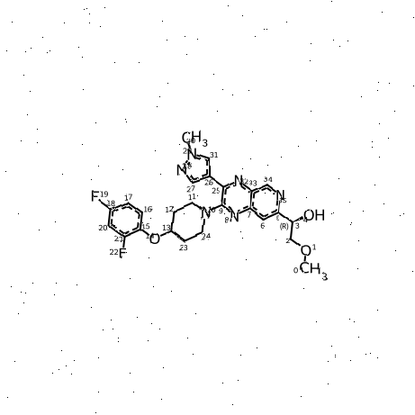 COC[C@H](O)c1cc2nc(N3CCC(Oc4ccc(F)cc4F)CC3)c(-c3cnn(C)c3)nc2cn1